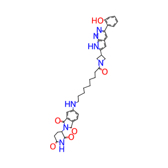 O=C1CCC(N2C(=O)c3ccc(NCCCCCCCCC(=O)N4CC(c5cc6cc(-c7ccccc7O)nnc6[nH]5)C4)cc3C2=O)C(=O)N1